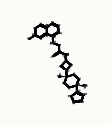 [2H][C@]1(N2CC(NC(=O)CNc3nccc4ccc(C)cc34)C2)CC[C@@](O)(c2nccs2)CC1